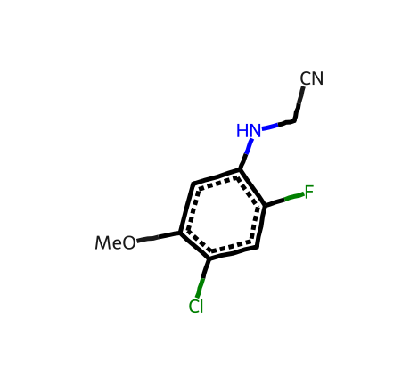 COc1cc(NCC#N)c(F)cc1Cl